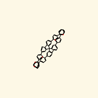 c1ccc(-c2ccc(-c3ccc4c(c3)C3(c5cc(-c6ccc(-c7ccccc7)cc6)ccc5-4)c4cc(-c5ccc(-c6ccccc6)cc5)ccc4-c4ccc(-c5ccc(-c6ccccc6)cc5)cc43)cc2)cc1